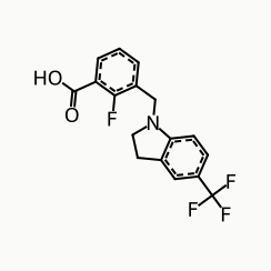 O=C(O)c1cccc(CN2CCc3cc(C(F)(F)F)ccc32)c1F